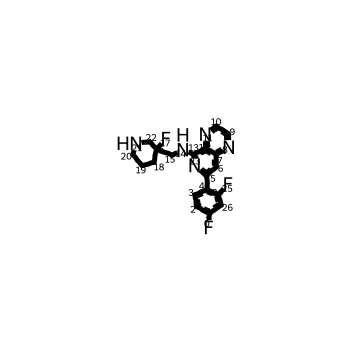 Fc1ccc(-c2cc3nccnc3c(NCC3(F)CCCNC3)n2)c(F)c1